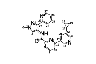 Cn1cc(NC(=O)c2cccc(-c3cncc(C4CC4)c3)n2)c(-c2ccccn2)n1